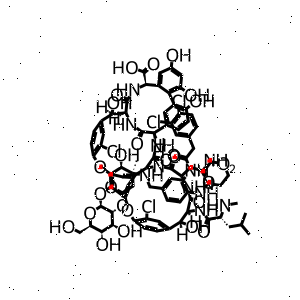 CN[C@H](CC(C)C)C(=O)N[C@H]1C(=O)NC(CC(N)=O)C(=O)NC2C(=O)N[C@H]3C(=O)N[C@H](C(=O)N[C@@H](C(=O)O)c4cc(O)cc(O)c4-c4cc3ccc4O)[C@H](O)c3ccc(c(Cl)c3)Oc3cc2cc(c3O[C@@H]2O[C@H](CO)[C@@H](O)[C@H](O)[C@H]2O[C@H]2C[C@](C)(NCc3ccc(NN4CCOCC4)c(NC(=O)Cc4ccc(Cl)c(Cl)c4)c3)[C@H](O)[C@H](C)O2)Oc2ccc(cc2Cl)[C@H]1O